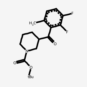 Cc1ccc(F)c(F)c1C(=O)C1CCCN(C(=O)OC(C)(C)C)C1